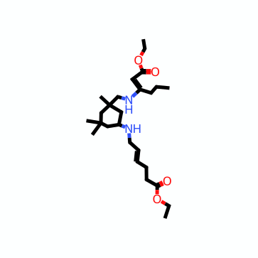 CCCC(=CC(=O)OCC)NCC1(C)CC(NCC=CCCC(=O)OCC)CC(C)(C)C1